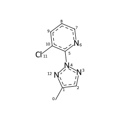 Cc1cnn(-c2ncccc2Cl)n1